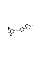 Cc1c(F)cc(CCc2ccc(C3CCC(C)CO3)cc2)cc1F